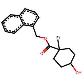 CCC1(C(=O)OCc2cccc3ccccc23)CCC(O)CC1